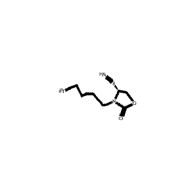 CC(C)CCCCN1C(=O)OC[C@@H]1B=N